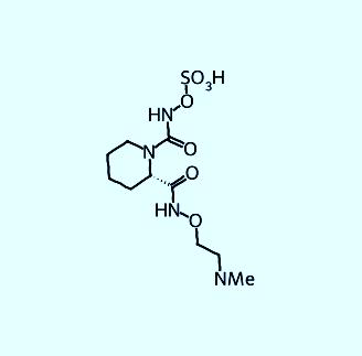 CNCCONC(=O)[C@@H]1CCCCN1C(=O)NOS(=O)(=O)O